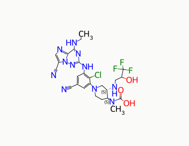 CCNc1nc(Nc2cc(C#N)cc(N3CC[C@H](N(C)C(=O)O)[C@@H](NCC(O)C(F)(F)F)C3)c2Cl)nn2c(C#N)cnc12